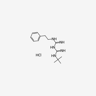 CC(C)(C)NC(=N)NC(=N)NCCc1ccccc1.Cl